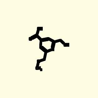 COCc1cc(C(=O)O)cc(CO)n1